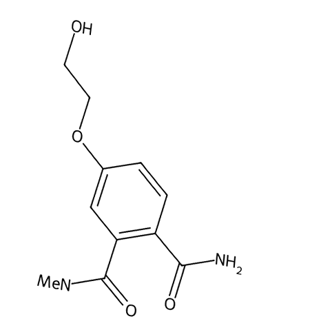 CNC(=O)c1cc(OCCO)ccc1C(N)=O